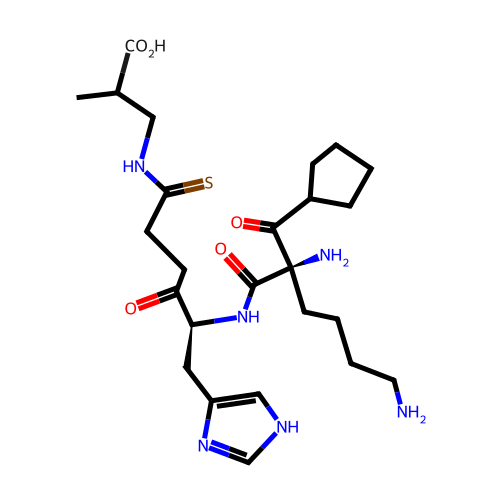 CC(CNC(=S)CCC(=O)[C@H](Cc1c[nH]cn1)NC(=O)[C@@](N)(CCCCN)C(=O)C1CCCC1)C(=O)O